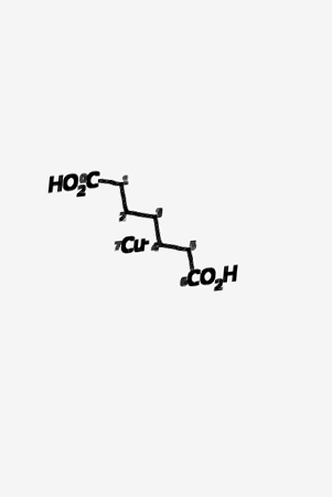 O=C(O)CCCCCC(=O)O.[Cu]